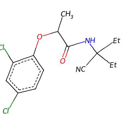 CCC(C#N)(CC)NC(=O)C(C)Oc1ccc(Cl)cc1Cl